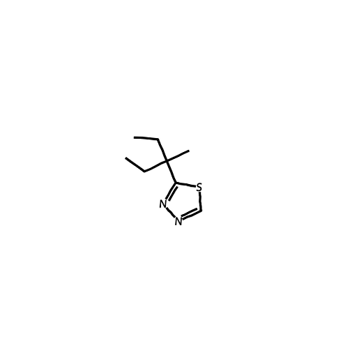 CCC(C)(CC)c1nncs1